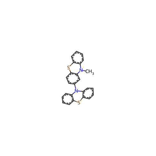 CN1c2ccccc2Sc2ccc(N3c4ccccc4Sc4ccccc43)cc21